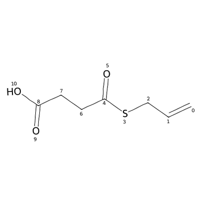 C=CCSC(=O)CCC(=O)O